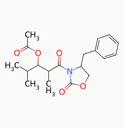 CC(=O)OC(C(C)C)C(C)C(=O)N1C(=O)OCC1Cc1ccccc1